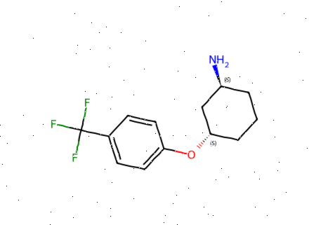 N[C@H]1CCC[C@H](Oc2ccc(C(F)(F)F)cc2)C1